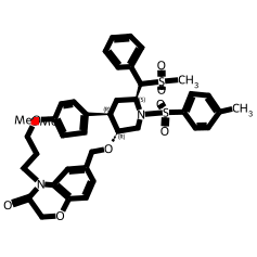 COCCCN1C(=O)COc2ccc(CO[C@H]3CN(S(=O)(=O)c4ccc(C)cc4)[C@H](C(c4ccccc4)S(C)(=O)=O)C[C@@H]3c3ccc(OC)cc3)cc21